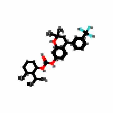 CC(C)C1C(C)CCCC1OC(=O)Oc1ccc2c(c1)OC(C)(C)CC2c1cccc(C(F)(F)F)c1